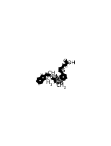 CN(C[C@H](O)CNC(C)(C)CC1Cc2ccccc2C1)S(=O)(=O)c1cccc(-c2ccc(CCC(=O)O)s2)c1